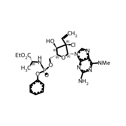 C=C[C@@]1(Cl)[C@H](O)[C@@H](COP(=O)(N[C@H](C)C(=O)OCC)Oc2ccccc2)O[C@H]1n1cnc2c(NC)nc(N)nc21